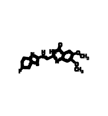 COc1cc2nc(C=[SH]c3nc4ccc(F)cc4s3)[nH]c(=O)c2cc1OC